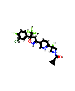 O=C(C1CC1)N1CC(F)(c2ccc(C3=NOC(c4ccc(F)c(Cl)c4)(C(F)(F)F)C3)cn2)C1